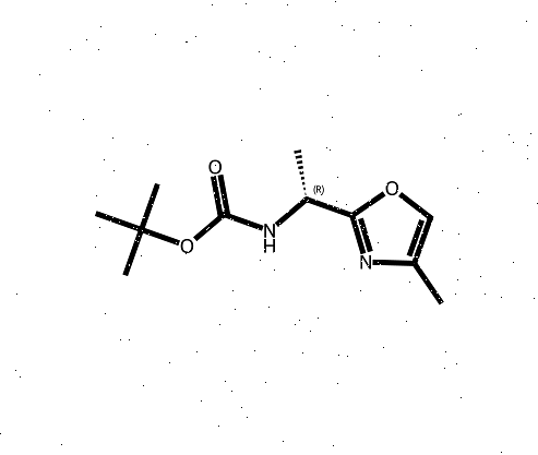 Cc1coc([C@@H](C)NC(=O)OC(C)(C)C)n1